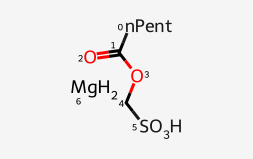 CCCCCC(=O)OCS(=O)(=O)O.[MgH2]